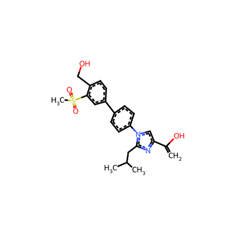 C=C(O)c1cn(-c2ccc(-c3ccc(CO)c(S(C)(=O)=O)c3)cc2)c(CC(C)C)n1